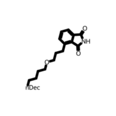 CCCCCCCCCCCCCCOCCCc1cccc2c1C(=O)NC2=O